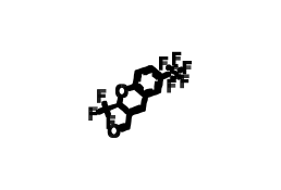 O=CC1=Cc2cc(S(F)(F)(F)(F)F)ccc2O[C@@H]1C(F)(F)F